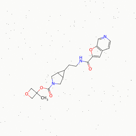 CC1(OC(=O)N2CC3C(CCNC(=O)c4cc5ccncc5o4)C3C2)COC1